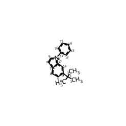 CC(C)(C)c1ccc2ccn(-c3ccccc3)c2c1